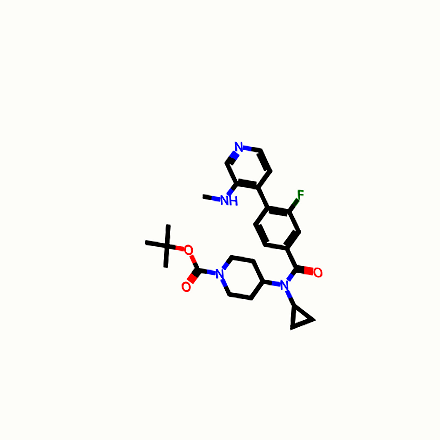 CNc1cnccc1-c1ccc(C(=O)N(C2CC2)C2CCN(C(=O)OC(C)(C)C)CC2)cc1F